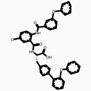 O=C(Nc1ccc(Cl)cc1C(=O)N[C@@H](Cc1ccc(-c2ccccc2Oc2ccccc2)cc1)C(=O)O)c1cccc(Oc2ccccc2)c1